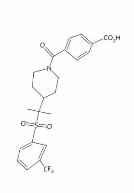 CC(C)(C1CCN(C(=O)c2ccc(C(=O)O)cc2)CC1)S(=O)(=O)c1cccc(C(F)(F)F)c1